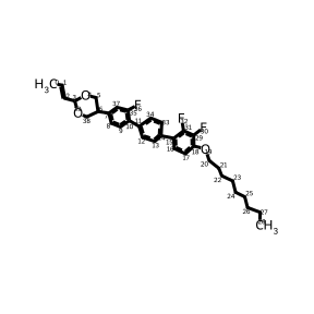 C/C=C/C1OCC(c2ccc(-c3ccc(-c4ccc(OCCCCCCCCC)c(F)c4F)cc3)c(F)c2)CO1